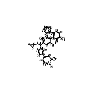 Cc1cc(C(CC2CC2)n2cc(-c3cnn(C)c(=O)c3)cn2)[n+]([O-])cc1-c1c(-n2cnnn2)ccc(Cl)c1F